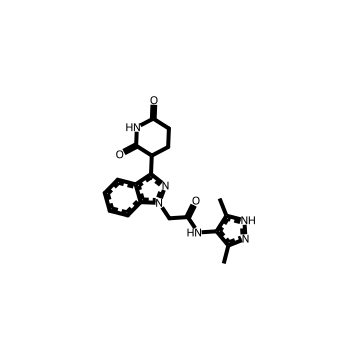 Cc1n[nH]c(C)c1NC(=O)Cn1nc(C2CCC(=O)NC2=O)c2ccccc21